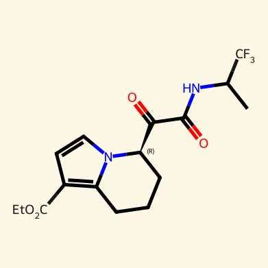 CCOC(=O)c1ccn2c1CCC[C@@H]2C(=O)C(=O)NC(C)C(F)(F)F